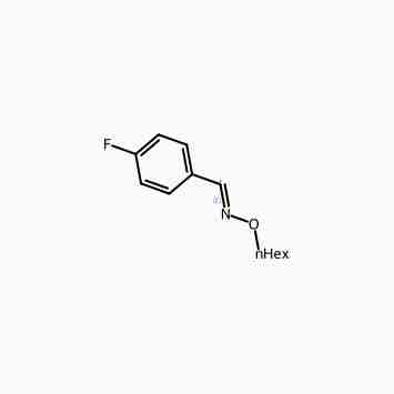 CCCCCCO/N=[C]/c1ccc(F)cc1